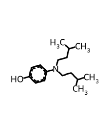 CC(C)CCN(CCC(C)C)c1ccc(O)cc1